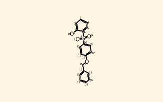 [O]c1ccccc1S(=O)(=O)c1ccc(OCc2ccccc2)cc1